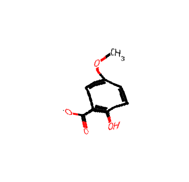 COc1ccc(O)c(C([O])=O)c1